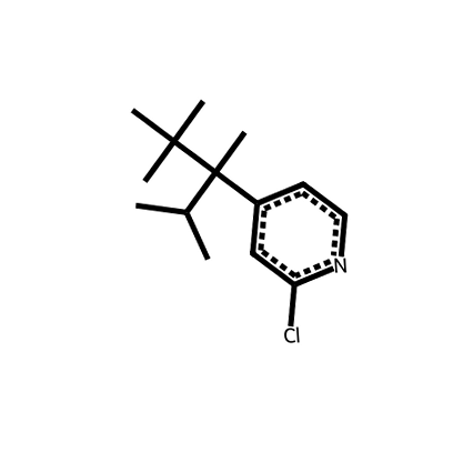 CC(C)C(C)(c1ccnc(Cl)c1)C(C)(C)C